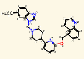 O=C(O)c1ccc2ncn(CN3CCC(c4cccc(OCc5cccc6ncccc56)n4)CC3)c2c1